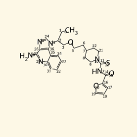 CCC(COCCC1CCN(C(=S)NC(=O)c2ccco2)CC1)n1cnc2c(N)nc3ccccc3c21